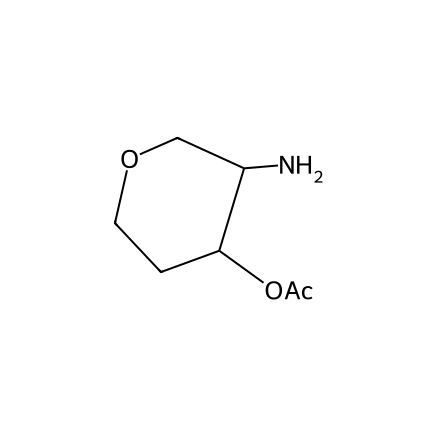 CC(=O)OC1CCOCC1N